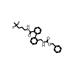 CC(F)(F)CCCNC(=O)c1ccccc1-c1ccccc1CNC(=O)OCc1ccccc1